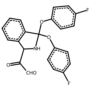 O=CC(=O)C1NC(Oc2ccc(F)cc2)(Oc2ccc(F)cc2)c2ccccc21